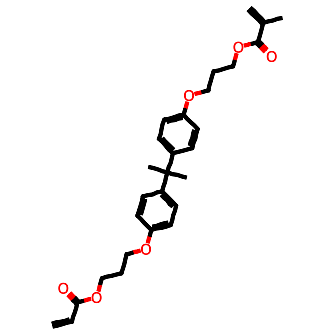 C=CC(=O)OCCCOc1ccc(C(C)(C)c2ccc(OCCCOC(=O)C(=C)C)cc2)cc1